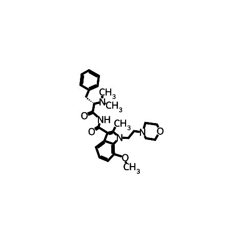 COc1cccc2c(C(=O)NC(=O)[C@H](Cc3ccccc3)N(C)C)c(C)n(CCN3CCOCC3)c12